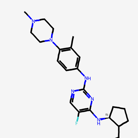 Cc1cc(Nc2ncc(F)c(N[C@H]3CCCC3C(N)=O)n2)ccc1N1CCN(C)CC1